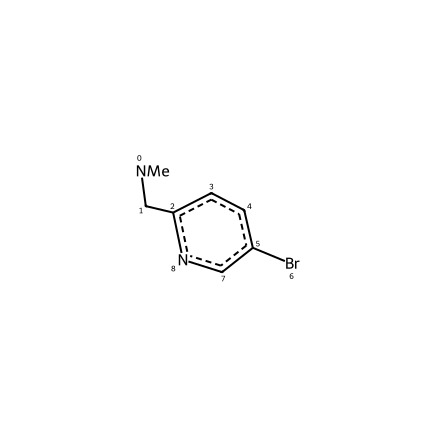 CNCc1ccc(Br)cn1